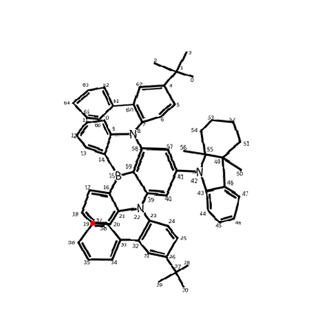 CC(C)(C)c1ccc(N2c3ccccc3B3c4ccccc4N(c4ccc(C(C)(C)C)cc4-c4ccccc4)c4cc(N5c6ccccc6C6(C)CCCCC56C)cc2c43)c(-c2ccccc2)c1